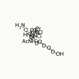 CC(=O)N[C@@H](CC(=O)OCCOCCOCCOCCO)C(=O)N(c1ccccc1)[C@H](C(=O)OC(C)C)N1C(=O)NC(c2ccc(CN)cc2)C1=O.Cl